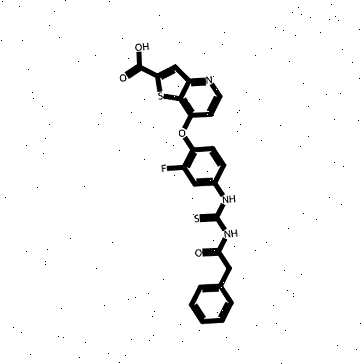 O=C(Cc1ccccc1)NC(=S)Nc1ccc(Oc2ccnc3cc(C(=O)O)sc23)c(F)c1